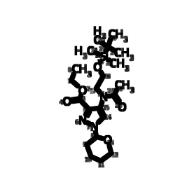 CCOC(=O)c1nn(C2CCCCO2)cc1N(CCO[Si](C)(C)C(C)(C)C)C(C)=O